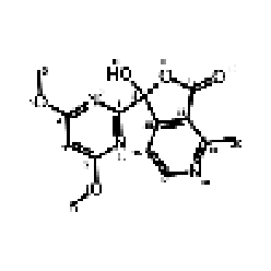 COc1cc(OC)nc(C2(O)OC(=O)c3c2ccnc3C)n1